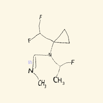 C/N=C\N(C(C)F)C1(C(F)F)CC1